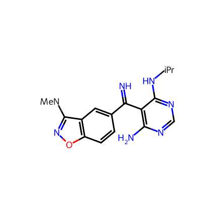 CNc1noc2ccc(C(=N)c3c(N)ncnc3NC(C)C)cc12